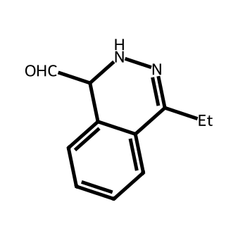 CCC1=NNC(C=O)c2ccccc21